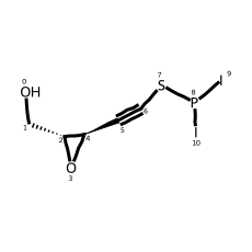 OC[C@H]1O[C@@H]1C#CSP(I)I